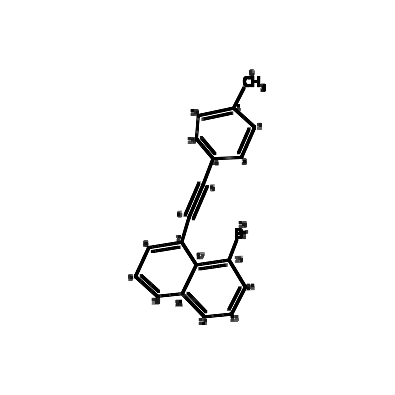 Cc1ccc(C#Cc2cccc3cccc(Br)c23)cc1